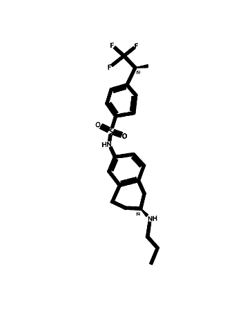 CCCN[C@H]1CCc2cc(NS(=O)(=O)c3ccc([C@H](C)C(F)(F)F)cc3)ccc2C1